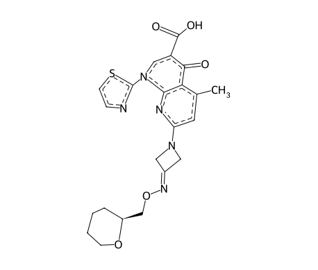 Cc1cc(N2CC(=NOC[C@@H]3CCCCO3)C2)nc2c1c(=O)c(C(=O)O)cn2-c1nccs1